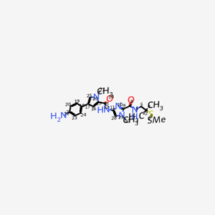 CSSC(C)(C)CNC(=O)c1nc(NC(=O)c2cc(-c3ccc(N)cc3)cn2C)cn1C